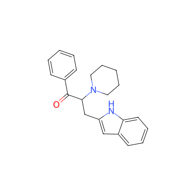 O=C(c1ccccc1)C(Cc1cc2ccccc2[nH]1)N1CCCCC1